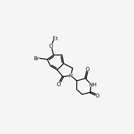 CCOc1cc2c(cc1Br)C(=O)N(C1CCC(=O)NC1=O)C2